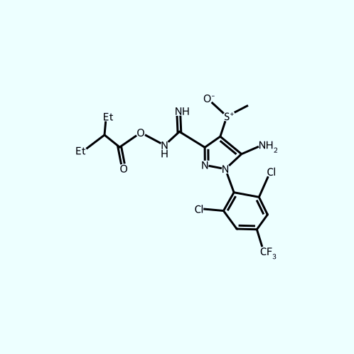 CCC(CC)C(=O)ONC(=N)c1nn(-c2c(Cl)cc(C(F)(F)F)cc2Cl)c(N)c1[S+](C)[O-]